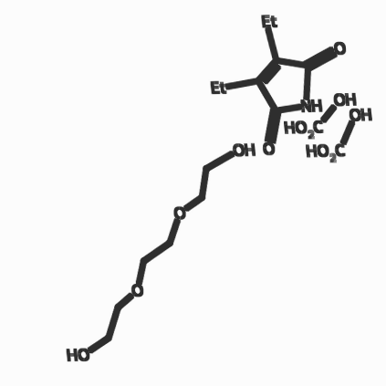 CCC1=C(CC)C(=O)NC1=O.O=C(O)O.O=C(O)O.OCCOCCOCCO